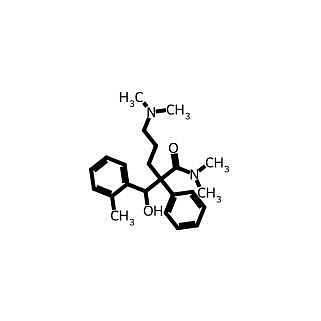 Cc1ccccc1C(O)C(CCCN(C)C)(C(=O)N(C)C)c1ccccc1